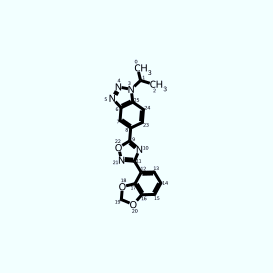 CC(C)n1nnc2cc(-c3nc(-c4cccc5c4OCO5)no3)ccc21